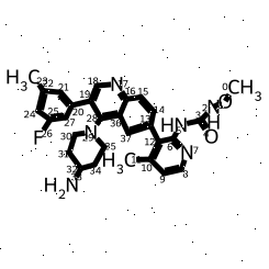 CONC(=O)Nc1nccc(C)c1-c1ccc2ncc(-c3cc(C)cc(F)c3)c(N3CCC(N)CC3)c2c1